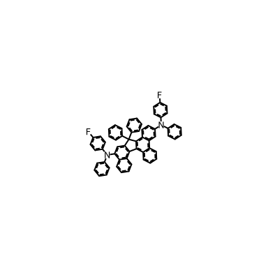 Fc1ccc(N(c2ccccc2)c2ccc3c4c(c5ccccc5c3c2)-c2c(cc(N(c3ccccc3)c3ccc(F)cc3)c3ccccc23)C4(c2ccccc2)c2ccccc2)cc1